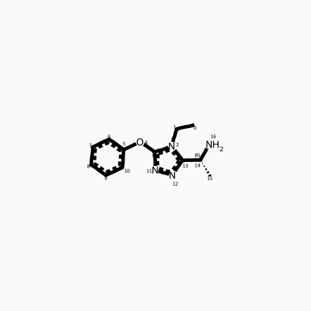 CCn1c(Oc2ccccc2)nnc1[C@@H](C)N